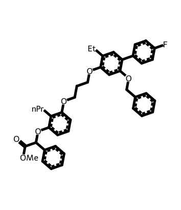 CCCc1c(OCCCOc2cc(OCc3ccccc3)c(-c3ccc(F)cc3)cc2CC)cccc1OC(C(=O)OC)c1ccccc1